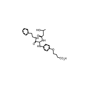 CC(O)CC(=O)NC(Nc1ccc(OCCCC(=O)O)cc1)C(=O)NCCc1ccccc1